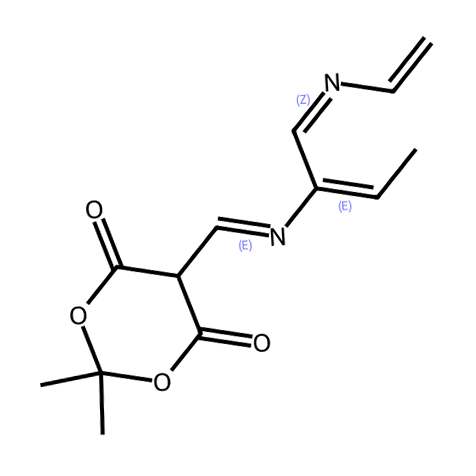 C=C\N=C/C(=C\C)/N=C/C1C(=O)OC(C)(C)OC1=O